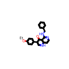 CCOc1ccc(-c2c[nH]c3ccnc(NCc4ccccc4)c3c2=O)cc1